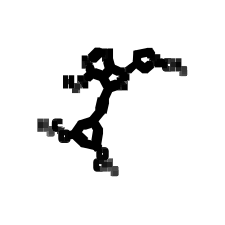 COc1cc(C#Cc2nn([C@H]3CCN(C)C3)c3ncnc(N)c23)cc(OC)c1